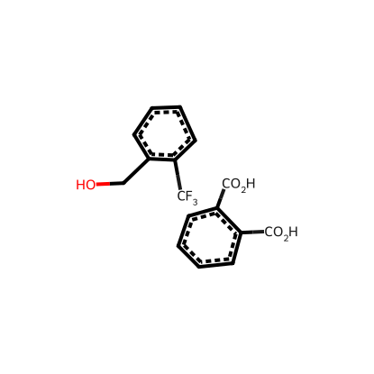 O=C(O)c1ccccc1C(=O)O.OCc1ccccc1C(F)(F)F